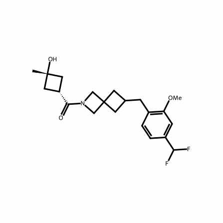 COc1cc(C(F)F)ccc1CC1CC2(C1)CN(C(=O)[C@H]1C[C@@](C)(O)C1)C2